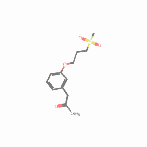 COC(=O)Cc1cccc(OCCCS(C)(=O)=O)c1